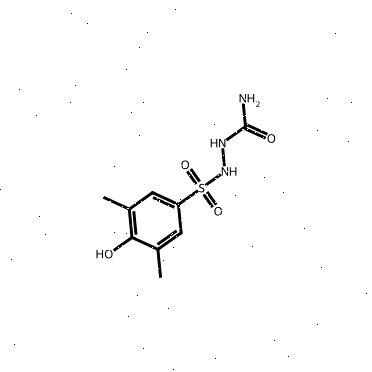 Cc1cc(S(=O)(=O)NNC(N)=O)cc(C)c1O